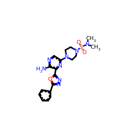 CN(C)S(=O)(=O)N1CCN(c2cnc(N)c(-c3nnc(-c4ccccc4)o3)n2)CC1